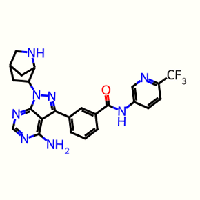 Nc1ncnc2c1c(-c1cccc(C(=O)Nc3ccc(C(F)(F)F)nc3)c1)nn2C1CC2CNC1C2